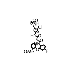 COc1ccccc1Oc1cc(F)ccc1NC(=O)CC(=O)Nc1nc(CNS(C)(=O)=O)c(Cl)s1